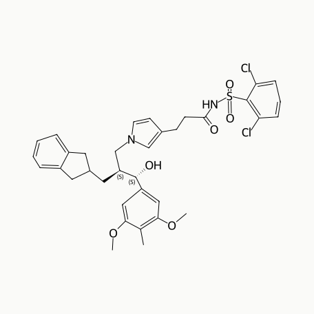 COc1cc([C@@H](O)[C@@H](CC2Cc3ccccc3C2)Cn2ccc(CCC(=O)NS(=O)(=O)c3c(Cl)cccc3Cl)c2)cc(OC)c1C